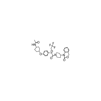 CC(=O)NC1CCC(Oc2ccc(C(OCC(F)(F)F)C(=O)N3CCC(N4C(=O)OCc5ccccc54)CC3)cc2)CC1